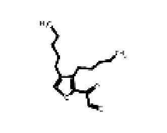 CCCCCc1coc(C(=O)C=O)c1CCCCC